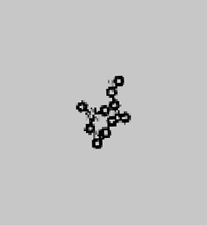 c1ccc(-c2nc(-c3ccccc3)nc(-c3cccc(-n4c5ccccc5c5ccc(-c6ccc7c(c6)c6ccccc6n7-c6ccc(-c7ccc8sc9ccccc9c8c7)cc6)cc54)c3)n2)cc1